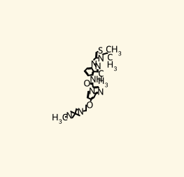 Cc1nn(Cc2csc(C(C)C)n2)c2cccc(NC(=O)c3cnc4cc(OCCN5CC6(CN(C)C6)C5)ccn34)c12